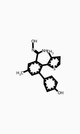 Cc1cc(/C(N)=N/O)c(-c2sccc2C)c(-c2ccc(O)cc2)c1